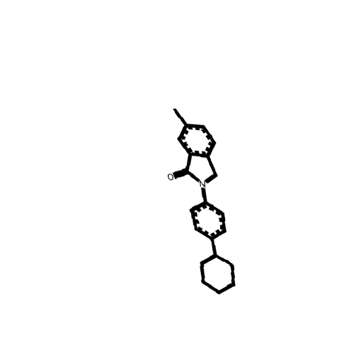 Cc1ccc2c(c1)C(=O)N(c1ccc(C3CCCCC3)cc1)C2